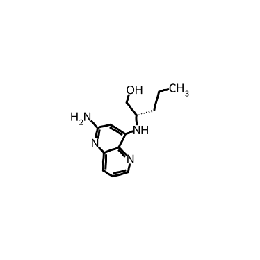 CCC[C@@H](CO)Nc1cc(N)nc2cccnc12